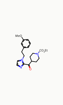 CCOC(=O)N1CCC(C(=O)c2nccn2CCc2cccc(OC)c2)CC1